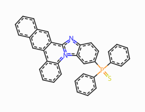 S=P(c1ccccc1)(c1ccccc1)c1ccc2nc3c4cc5ccccc5cc4c4ccccc4n3c2c1